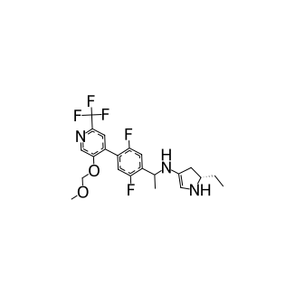 CC[C@H]1CC(NC(C)c2cc(F)c(-c3cc(C(F)(F)F)ncc3OCOC)cc2F)=CN1